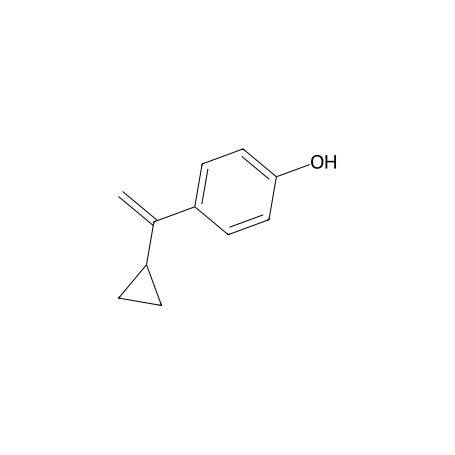 C=C(c1ccc(O)cc1)C1CC1